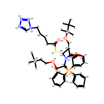 CC(C)(C)[Si](C)(C)OC[C@H]1C(=O)N(C(C(=O)OCC[Si](C)(C)C)=P(c2ccccc2)(c2ccccc2)c2ccccc2)[C@@H]1SC(=O)CCCCn1cnnn1